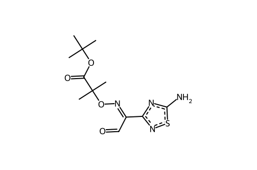 CC(C)(C)OC(=O)C(C)(C)O/N=C(\C=O)c1nsc(N)n1